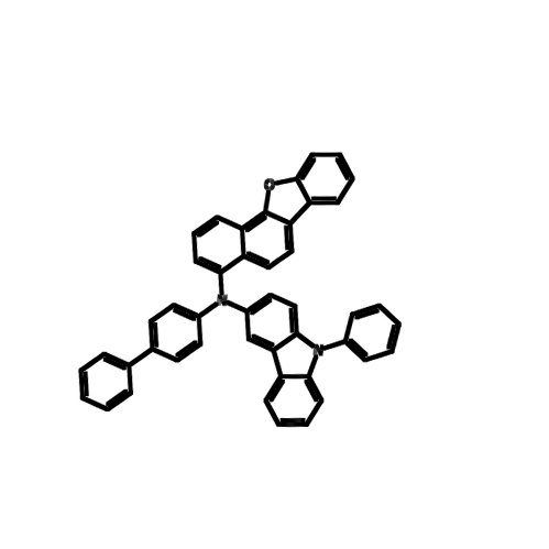 c1ccc(-c2ccc(N(c3ccc4c(c3)c3ccccc3n4-c3ccccc3)c3cccc4c3ccc3c5ccccc5oc43)cc2)cc1